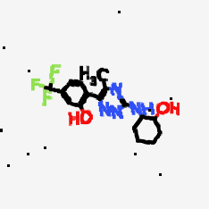 Cc1nc(NC2CCCCC2O)nnc1-c1ccc(C(F)(F)F)cc1O